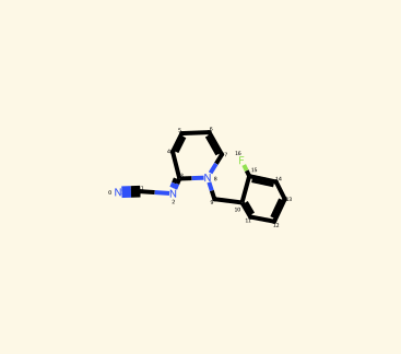 N#C/N=c1\ccccn1Cc1ccccc1F